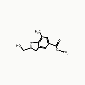 COC(=O)c1cc(C)c2c(c1)CC(CO)O2